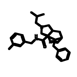 Cc1cccc(CNC(=O)C23N=CC4CC2CN(CC(C)C)C3C4Cc2ccccc2)c1